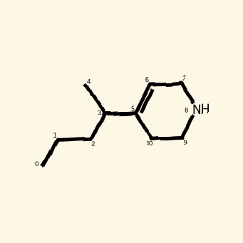 CCCC(C)C1=CCNCC1